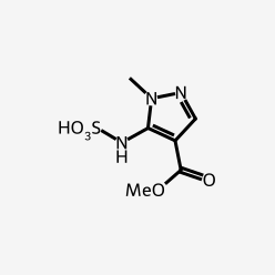 COC(=O)c1cnn(C)c1NS(=O)(=O)O